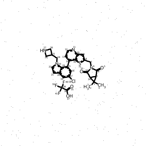 CC1(C)C2C(=O)N(Cc3cc4nccc(-c5cc(Cl)cc6ccn(CC7CNC7)c56)c4s3)C(=O)C21.O=C(O)C(F)(F)F